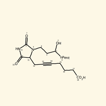 CCCCCC(O)CCN1C(=O)NC(=O)C1CC#CCCCC(=O)O